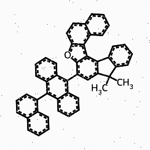 CC1(C)c2ccccc2-c2c1cc(-c1c3ccccc3c(-c3cccc4ccccc34)c3ccccc13)c1oc3ccc4ccccc4c3c21